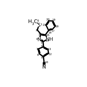 CSCc1nc(-c2ccc(C#N)cc2)[nH]c1-c1ccccc1